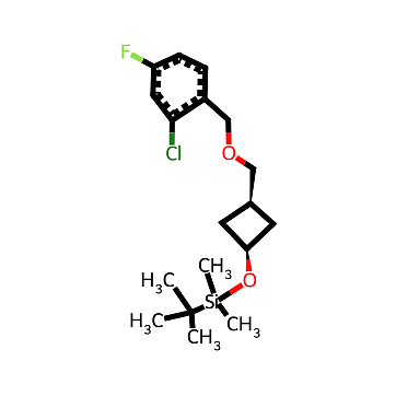 CC(C)(C)[Si](C)(C)O[C@H]1C[C@@H](COCc2ccc(F)cc2Cl)C1